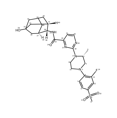 C[C@@H]1CN(c2ccc(S(C)(=O)=O)cc2F)CCN1c1nccc(C(=O)N[C@@H]2[C@@H]3CC4C[C@H]2CC(O)(C4)C3)n1